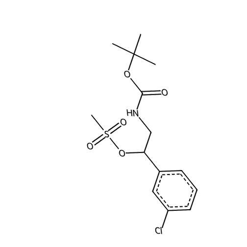 CC(C)(C)OC(=O)NCC(OS(C)(=O)=O)c1cccc(Cl)c1